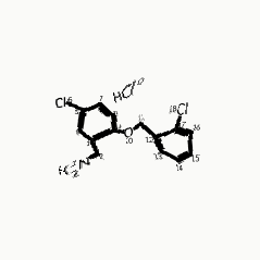 Cl.NCc1cc(Cl)ccc1OCc1ccccc1Cl